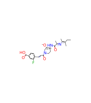 CC/C(C)=C(C)/N=C(\C)C(=O)N[C@@H]1CCN(C(=O)/C=C/c2ccc(C(=O)O)cc2F)C[C@@H]1OC